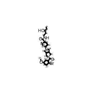 CCC(O)CCNC(=O)c1ccc(N2CC3=C(CN(C(=O)c4cc(OC)ccc4Br)C3)C2)nn1